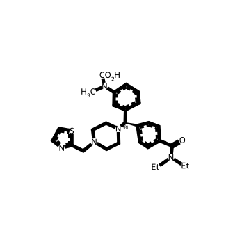 CCN(CC)C(=O)c1ccc([C@H](c2cccc(N(C)C(=O)O)c2)N2CCN(Cc3nccs3)CC2)cc1